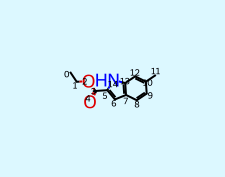 CCOC(=O)c1cc2ccc(C)cc2[nH]1